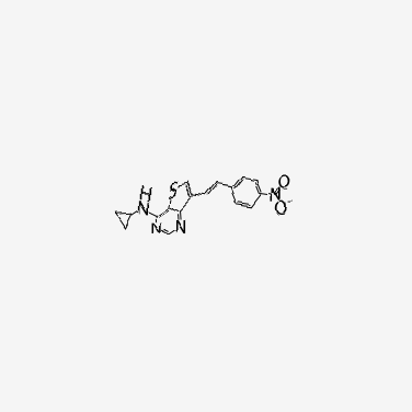 O=[N+]([O-])c1ccc(C=Cc2csc3c(NC4CC4)ncnc23)cc1